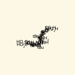 CC(C)(C)c1nn(-c2nc(O)nc(-n3nc(C(C)(C)C)c(N=Nc4nnc(-c5ccc(C(=O)O)c(C(=O)O)c5)s4)c3N)n2)c(N)c1N=Nc1nnc(-c2ccc(C(=O)O)c(C(=O)O)c2)s1